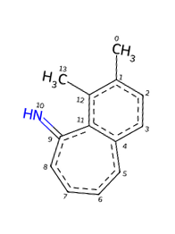 Cc1ccc2ccccc(=N)c2c1C